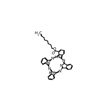 C=CCCCCCCOC(=O)c1cccc2c3nc4nc(nc5[nH]c(nc6nc(nc([nH]3)c12)-c1ccccc1-6)c1ccccc51)-c1ccccc1-4